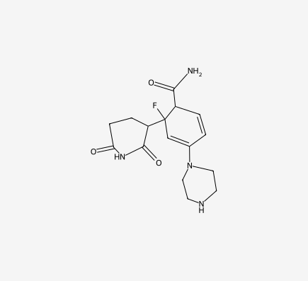 NC(=O)C1C=CC(N2CCNCC2)=CC1(F)C1CCC(=O)NC1=O